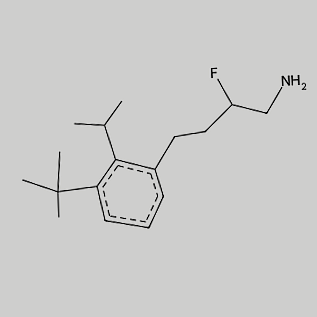 CC(C)c1c(CCC(F)CN)cccc1C(C)(C)C